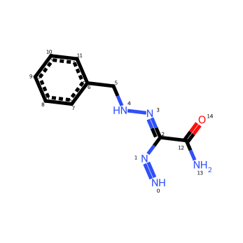 N=N/C(=N\NCc1ccccc1)C(N)=O